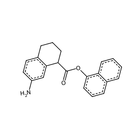 Nc1ccc2c(c1)C(C(=O)Oc1cccc3ccccc13)CCC2